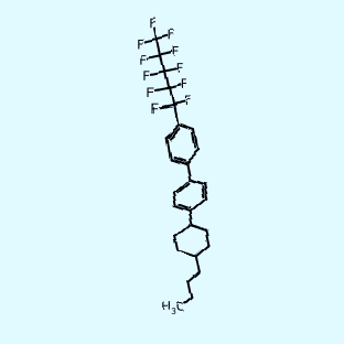 CCCCC1CCC(c2ccc(-c3ccc(C(F)(F)C(F)(F)C(F)(F)C(F)(F)C(F)(F)F)cc3)cc2)CC1